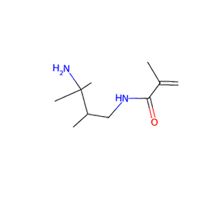 C=C(C)C(=O)NCC(C)C(C)(C)N